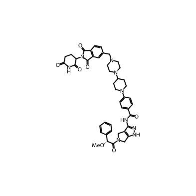 CO[C@@H](C(=O)N1Cc2[nH]nc(NC(=O)c3ccc(N4CCC(N5CCN(Cc6ccc7c(c6)C(=O)N(C6CCC(=O)NC6=O)C7=O)CC5)CC4)cc3)c2C1)c1ccccc1